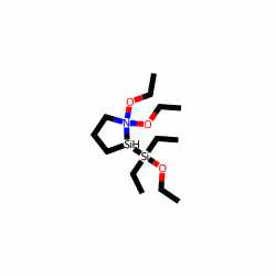 CCO[N+]1(OCC)CCC[SiH]1[Si](CC)(CC)OCC